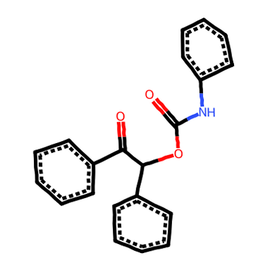 O=C(Nc1ccccc1)OC(C(=O)c1ccccc1)c1ccccc1